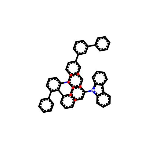 c1ccc(-c2cccc(-c3ccc(N(c4cccc(-n5c6ccccc6c6ccccc65)c4)c4cccc(-c5ccccc5)c4-c4ccccc4-c4ccccc4)cc3)c2)cc1